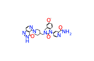 COc1ccc2c(c1)CN(CC1CCN(c3nccc4nc[nH]c(=O)c34)CC1)C(=O)N2c1ccnc(C(N)=O)c1